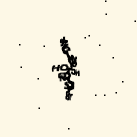 [CH3][Sn]([CH3])([CH3])[c]1ccc(C2=NOC(C(O)C(O)C3CC(c4ccc(Br)s4)=NO3)C2)s1